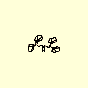 C(CP(C1C2CC3CC(C2)CC1C3)C1C2CC3CC(C2)CC1C3)NCCP(C1C2CC3CC(C2)CC1C3)C1C2CC3CC(C2)CC1C3